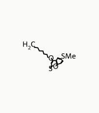 C=CCCCCCCOc1cc(=S)oc2ccc(SC)cc12